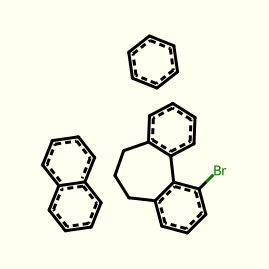 Brc1cccc2c1-c1ccccc1CCC2.c1ccc2ccccc2c1.c1ccccc1